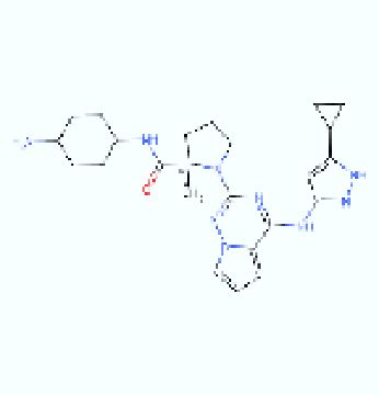 C[C@@]1(C(=O)NC2CCC(N)CC2)CCCN1c1nc(Nc2cc(C3CC3)[nH]n2)c2cccn2n1